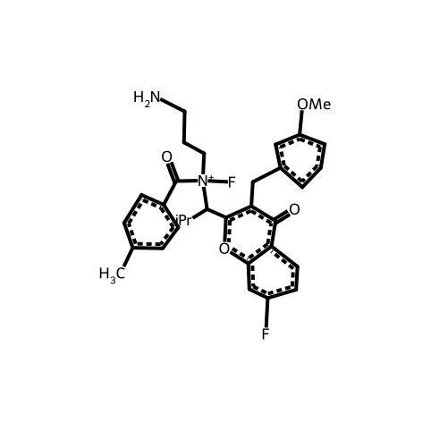 COc1cccc(Cc2c(C(C(C)C)[N+](F)(CCCN)C(=O)c3ccc(C)cc3)oc3cc(F)ccc3c2=O)c1